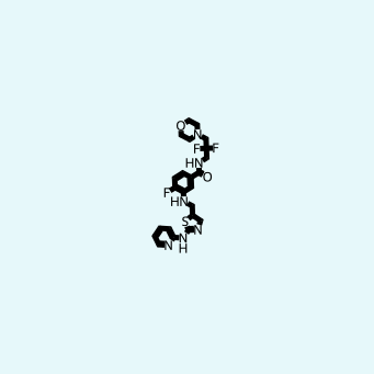 O=C(NCC(F)(F)CN1CCOCC1)c1ccc(F)c(NCC2CN=C(Nc3ccccn3)S2)c1